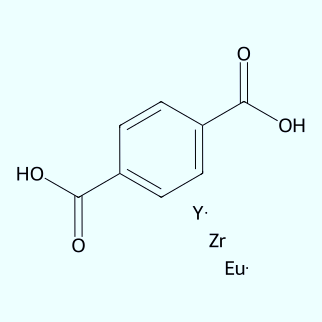 O=C(O)c1ccc(C(=O)O)cc1.[Eu].[Y].[Zr]